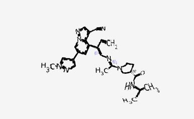 C=C/C(=C\N=C(/C)N1CC[C@H](C(=O)NC(C)C)C1)c1cc(-c2cnn(C)c2)cn2ncc(C#N)c12